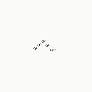 [O-2].[O-2].[O-2].[O-2].[Ta+5]